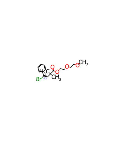 COCCOCCOC(=O)C(C)(C)/C=C(/Br)c1ccccc1